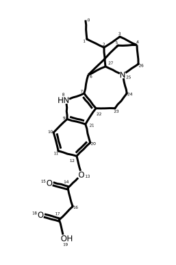 CCC1CC2CC3c4[nH]c5ccc(OC(=O)CC(=O)O)cc5c4CCN(C2)C13